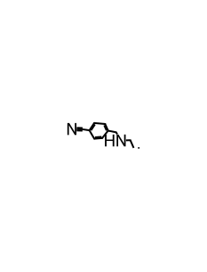 [CH2]CNCc1ccc(C#N)cc1